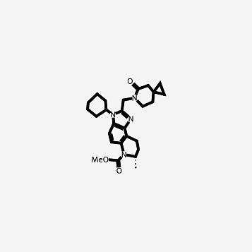 COC(=O)N1c2ccc3c(nc(CN4CCC5(CC5)CC4=O)n3C3CCCCC3)c2CC[C@@H]1C